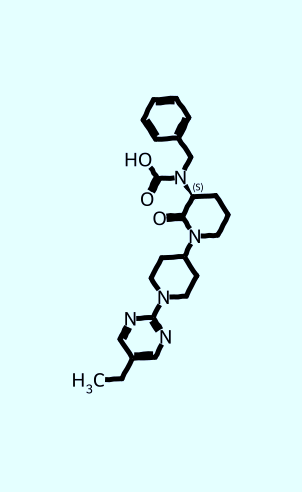 CCc1cnc(N2CCC(N3CCC[C@H](N(Cc4ccccc4)C(=O)O)C3=O)CC2)nc1